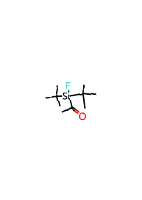 CC(=O)[Si](F)(C(C)(C)C)C(C)(C)C